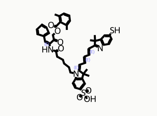 Cc1cccc(C)c1C(=O)OCC(=O)/C(=C\c1ccccc1)NC(=O)CCCCCN1/C(=C/C=C/C=C/C2=Nc3ccc(S)cc3C2(C)C)C(C)(C)c2cc(S(=O)(=O)O)ccc21